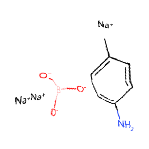 Cc1ccc(N)cc1.[Na+].[Na+].[Na+].[O-]B([O-])[O-]